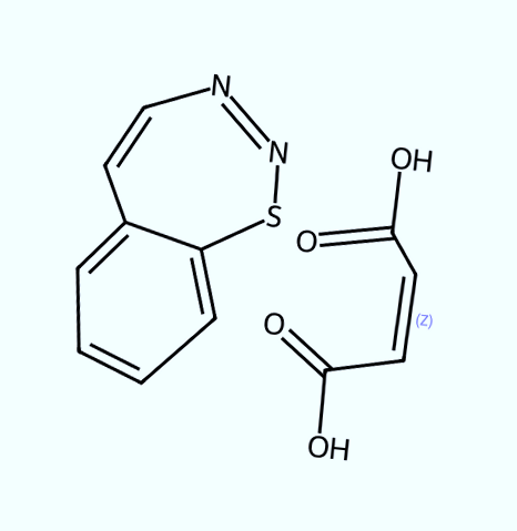 C1=Cc2ccccc2SN=N1.O=C(O)/C=C\C(=O)O